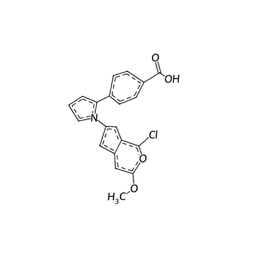 COc1cc2cc(-n3cccc3-c3ccc(C(=O)O)cc3)cc-2c(Cl)o1